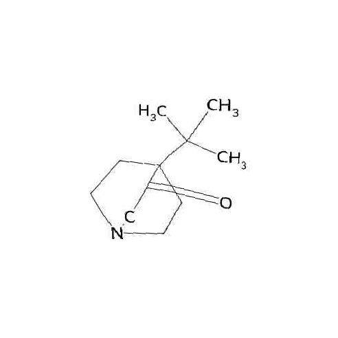 CC(C)(C)C12CCN(CC1)CC2=O